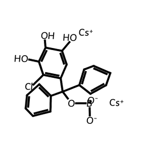 [Cs+].[Cs+].[O-]B([O-])OC(c1ccccc1)(c1ccccc1)c1cc(O)c(O)c(O)c1Cl